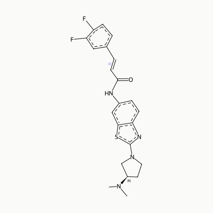 CN(C)[C@@H]1CCN(c2nc3ccc(NC(=O)/C=C/c4ccc(F)c(F)c4)cc3s2)C1